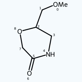 COCC1CNC(=O)CO1